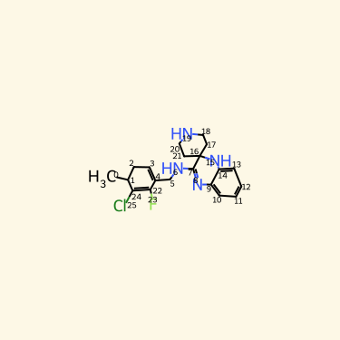 CC1CC=C(CNC2=Nc3ccccc3NC23CCNCC3)C(F)=C1Cl